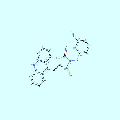 O=C1SC(=Cc2c3ccccc3nc3ccccc23)C(=S)N1Cc1cccc(Cl)c1